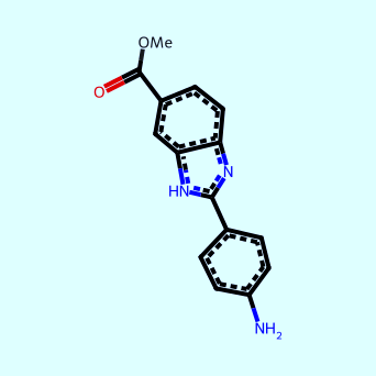 COC(=O)c1ccc2nc(-c3ccc(N)cc3)[nH]c2c1